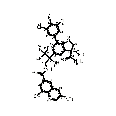 Cc1cnc2c(Cl)cc(C(=O)NCC(O)(c3cc4c(c(-c5cc(Cl)c(F)c(Cl)c5)n3)OC[C@]4(C)C(N)=O)C(F)(F)F)cc2c1